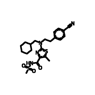 Cc1sc(N(CCc2ccc(C#N)cc2)CC2CCCCC2)nc1C(=O)NS(C)(=O)=O